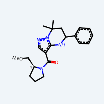 COC[C@@H]1CCCN1C(=O)c1cnn2c1NC(c1ccccc1)CC2(C)C